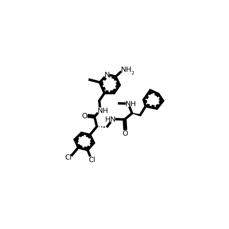 CN[C@@H](Cc1ccccc1)C(=O)NC[C@@H](C(=O)NCc1ccc(N)nc1C)c1ccc(Cl)c(Cl)c1